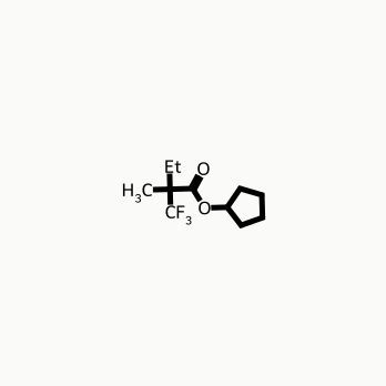 CCC(C)(C(=O)OC1CCCC1)C(F)(F)F